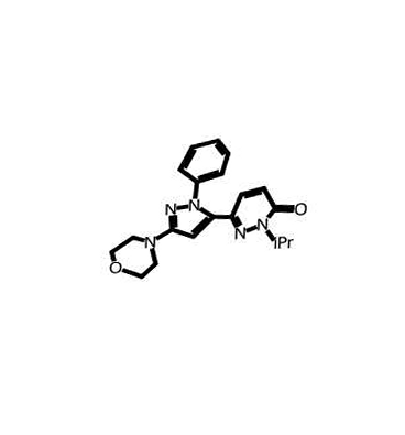 CC(C)n1nc(-c2cc(N3CCOCC3)nn2-c2ccccc2)ccc1=O